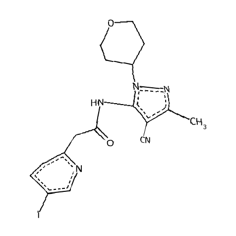 Cc1nn(C2CCOCC2)c(NC(=O)Cc2ccc(I)cn2)c1C#N